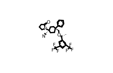 C[C@@H](OC[C@]1(c2ccccc2)CC[C@](C#N)(N2CCCC2=O)CC1)c1cc(C(F)(F)F)cc(C(F)(F)F)c1